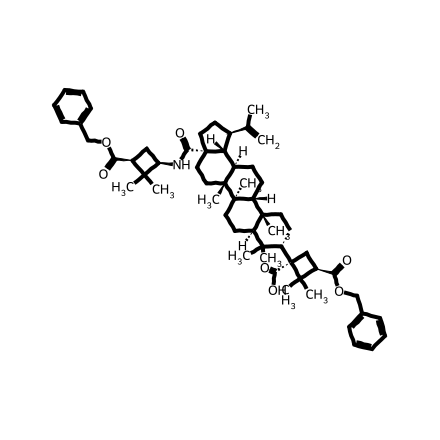 C=C(C)[C@@H]1CC[C@]2(C(=O)N[C@@H]3C[C@H](C(=O)OCc4ccccc4)C3(C)C)CC[C@]3(C)[C@H](CC[C@@H]4[C@]5(C)CC[C@H]([C@@]6(C(=O)O)C[C@@H](C(=O)OCc7ccccc7)C6(C)C)C(C)(C)[C@H]5CC[C@]43C)[C@@H]12